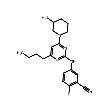 CCCCc1cc(N2CCCC(N)C2)nc(Nc2ccc(F)c(C#N)c2)n1